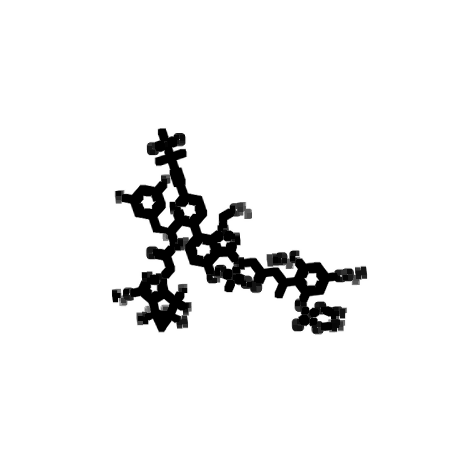 CC(C)OP(=O)(Oc1cc(C(=O)O)cc(C(=O)O)c1C(C)CC(=O)CN(c1nn(CC(F)(F)F)c2c(-c3ccc(C#CC(C)(C)S(C)(=O)=O)nc3[C@H](Cc3cc(F)cc(F)c3)NC(=O)Cn3nc(C(F)(F)F)c4c3C(F)(F)[C@@H]3C[C@H]43)ccc(Cl)c12)S(C)(=O)=O)OC(C)C